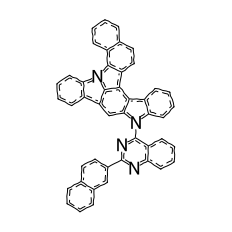 c1ccc2cc(-c3nc(-n4c5ccccc5c5c6c7ccc8ccccc8c7n7c8ccccc8c(cc54)c67)c4ccccc4n3)ccc2c1